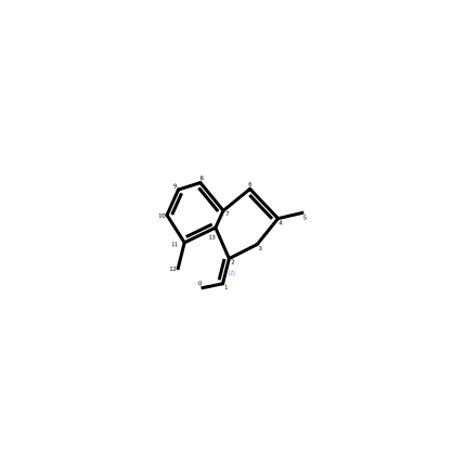 C/C=C1/CC(C)=Cc2cccc(C)c21